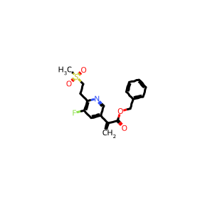 C=C(C(=O)OCc1ccccc1)c1cnc(CCS(C)(=O)=O)c(F)c1